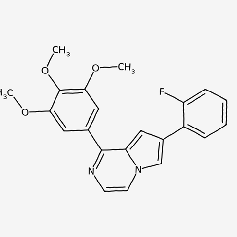 COc1cc(-c2nccn3cc(-c4ccccc4F)cc23)cc(OC)c1OC